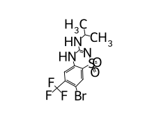 CC(C)NC1=NS(=O)(=O)c2cc(Br)c(C(F)(F)F)cc2N1